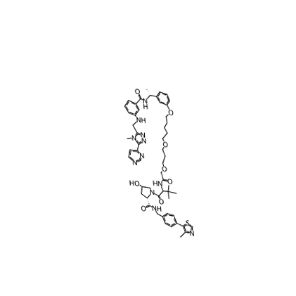 Cc1ncsc1-c1ccc(CNC(=O)[C@@H]2C[C@@H](O)CN2C(=O)C(NC(=O)COCCCOCCCCCOc2cccc([C@@H](C)NC(=O)c3cccc(NCc4nnc(-c5ccncn5)n4C)c3)c2)C(C)(C)C)cc1